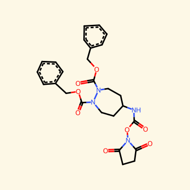 O=C(NC1CCN(C(=O)OCc2ccccc2)N(C(=O)OCc2ccccc2)CC1)ON1C(=O)CCC1=O